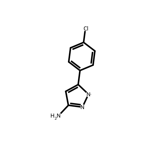 NC1=N[N]C(c2ccc(Cl)cc2)=C1